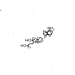 Nc1ncnc2c1ncn2C[C@H]1COP(=O)(NC(CCC(=O)O)C(=O)O)CO1